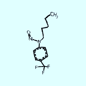 CCCCCN(N=O)c1ccc(C(F)(F)F)cc1